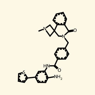 CN1CC2(C1)CN(Cc1ccc(C(=O)Nc3cc(-c4cccs4)ccc3N)cc1)C(=O)c1ccccc12